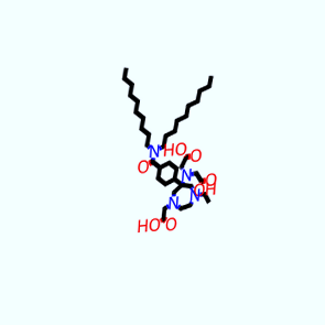 CCCCCCCCCCN(CCCCCCCCCC)C(=O)C1CCC(C2(N(CC(=O)O)CC(=O)O)CN(CC)CCN(CC(=O)O)C2)CC1